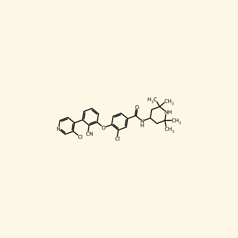 CC1(C)CC(NC(=O)c2ccc(Oc3cccc(-c4ccncc4Cl)c3C#N)c(Cl)c2)CC(C)(C)N1